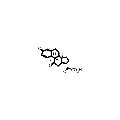 C[C@]12CC(=O)[C@@]3(F)[C@@H](CCC4=CC(=O)C=C[C@@]43C)[C@@H]1CC[C@@H]2C(=O)C(=O)O